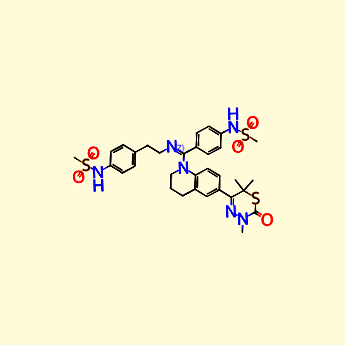 CN1N=C(c2ccc3c(c2)CCCN3/C(=N\CCc2ccc(NS(C)(=O)=O)cc2)c2ccc(NS(C)(=O)=O)cc2)C(C)(C)SC1=O